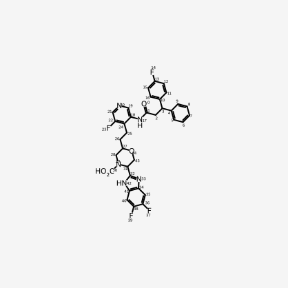 O=C(CC(c1ccccc1)c1ccc(F)cc1)Nc1cncc(F)c1CCC1CN(C(=O)O)C(c2nc3cc(F)c(F)cc3[nH]2)CO1